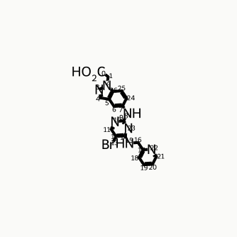 O=C(O)Cn1ncc2cc(Nc3ncc(Br)c(NCc4ccccn4)n3)ccc21